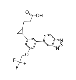 O=C(O)CCC1CC1c1cc(OCC(F)(F)F)cc(-c2ccc3nsnc3c2)c1